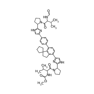 COC(=O)NC(C(=O)N1CCCC1c1nc(-c2ccc(-c3ccc(-c4c[nH]c(C5CCCN5C(=O)C(NC=O)C(C)C)n4)cc3)c3c2CCC32CCCC2)c[nH]1)C(C)C